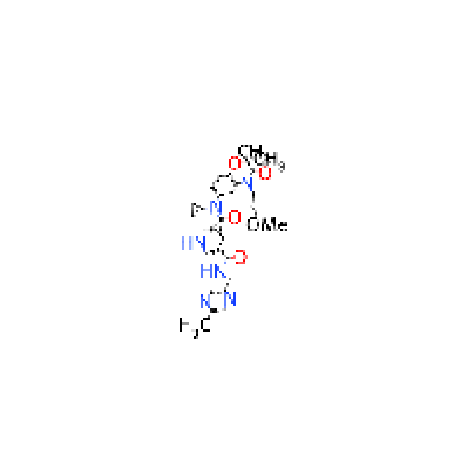 COCCCN1C(=O)C(C)(C)Oc2ccc(N(C(=O)[C@H]3CNC[C@@H](C(=O)NCc4cnc(C)cn4)C3)C3CC3)cc21